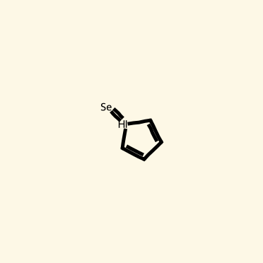 [Se]=[IH]1C=CC=C1